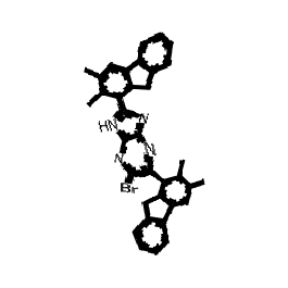 Cc1cc2c(c(-c3nc4nc(-c5c(C)c(C)cc6c5Cc5ccccc5-6)c(Br)nc4[nH]3)c1C)Cc1ccccc1-2